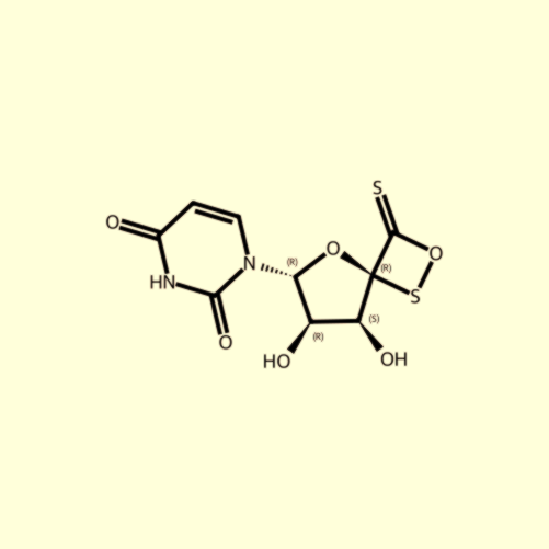 O=c1ccn([C@@H]2O[C@@]3(SOC3=S)[C@@H](O)[C@H]2O)c(=O)[nH]1